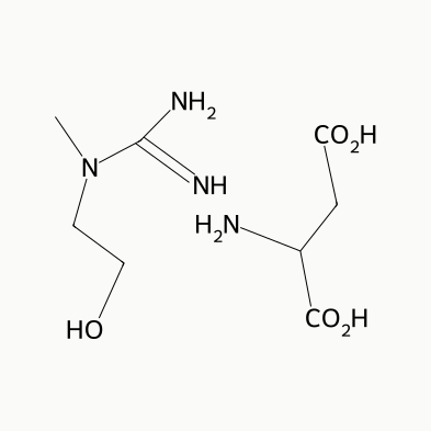 CN(CCO)C(=N)N.NC(CC(=O)O)C(=O)O